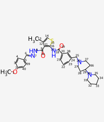 COc1ccc(C=NNC(=O)c2c(C)csc2NC(=O)c2cccc(CN3CCC(N4CCCCC4)CC3)c2)cc1